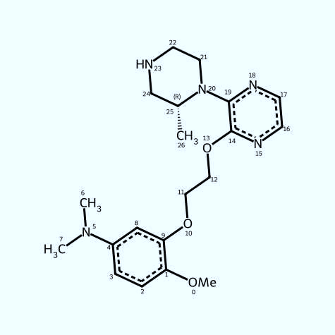 COc1ccc(N(C)C)cc1OCCOc1nccnc1N1CCNC[C@H]1C